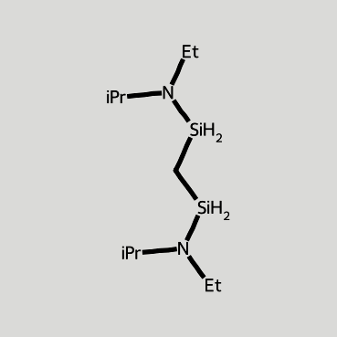 CCN([SiH2]C[SiH2]N(CC)C(C)C)C(C)C